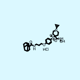 Cl.O=C(NCCCOc1ccc(S(=O)(=O)C2(C(=O)NO)CCN(C3CC3)CC2)cc1)C12CC3CC(CC(C3)C1)C2